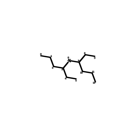 CCCC(CC)[N]C(CC)CCC